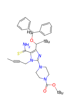 CC#CCn1c(N2CCN(C(=O)OC(C)(C)C)CC2)nc(C(O[SiH](c2ccccc2)c2ccccc2)C(C)(C)C)c1C(N)=S